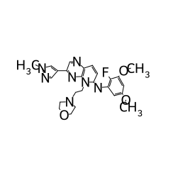 COc1cc(/N=c2\ccc3ncc(-c4cnn(C)c4)nc3n2CCN2CCOCC2)c(F)c(OC)c1